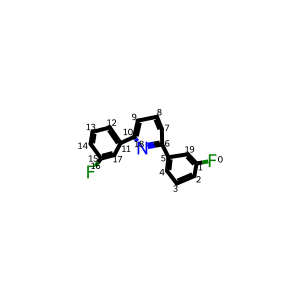 Fc1cccc(-c2cccc(-c3cccc(F)c3)n2)c1